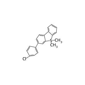 CS1(C)c2ccccc2-c2ccc(-c3ccc(Cl)cc3)cc21